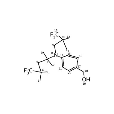 CC(C)(CC(C)(C)C(F)(F)F)N(CC(C)(C)C(F)(F)F)c1ccc(CO)cc1